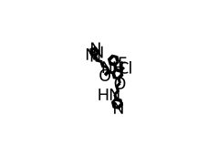 O=C(NCCCn1ncnn1)c1cc(OCCNc2ccncc2)cc(Cl)c1-c1ccccc1F